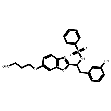 N#Cc1cccc(CC(NS(=O)(=O)c2ccccc2)c2nc3ccc(OCCCC=O)cc3s2)c1